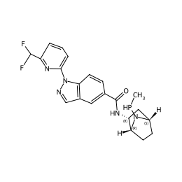 CPN1[C@H]2CC[C@@H]1[C@H](NC(=O)c1ccc3c(cnn3-c3cccc(C(F)F)n3)c1)C2